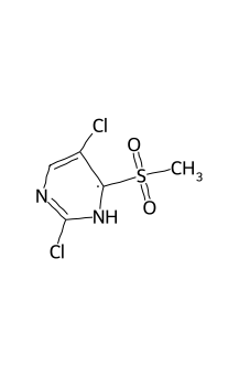 CS(=O)(=O)[C]1NC(Cl)=NC=C1Cl